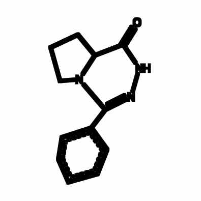 O=C1NN=C(c2ccccc2)N2CCCC12